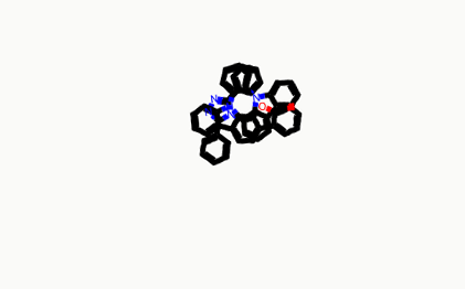 c1ccc(-c2nnc(-c3ccccc3)n2-c2cccc3c4ccccc4n(-c4ccccc4-n4c5ccccc5c5ccc6c7ccccc7oc6c54)c23)cc1